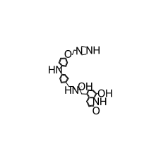 O=c1ccc2c(C[C@@H](O)NCCc3ccc(Nc4ccc(OCCN5CCNCC5)cc4)cc3)ccc(O)c2[nH]1